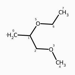 [CH2]C(COC)OCC